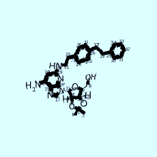 CC1(C)O[C@@H]2[C@H](O1)[C@@H](CO)O[C@H]2n1cnc2c(N)cc(NCCc3ccc(CCc4ccccc4)cc3)nc21